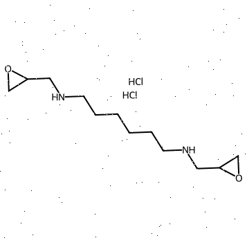 C(CCCNCC1CO1)CCNCC1CO1.Cl.Cl